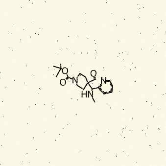 CNC(c1ccccn1)C1(C=O)CCN(C(=O)OC(C)(C)C)CC1